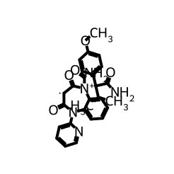 COc1ccc(C(C(N)=O)(C(C)C)[N+]2(C(N)=O)C(=O)[CH]C(=O)N(c3ccccn3)c3ccccc32)cc1